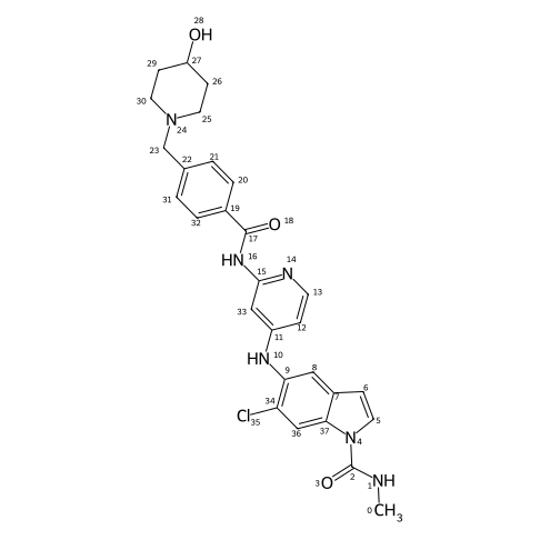 CNC(=O)n1ccc2cc(Nc3ccnc(NC(=O)c4ccc(CN5CCC(O)CC5)cc4)c3)c(Cl)cc21